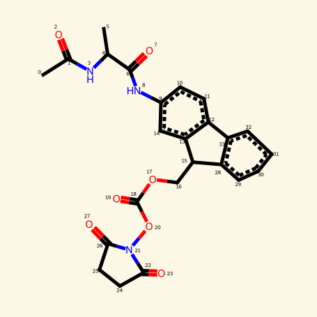 CC(=O)NC(C)C(=O)Nc1ccc2c(c1)C(COC(=O)ON1C(=O)CCC1=O)c1ccccc1-2